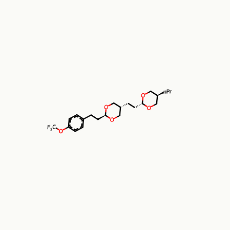 CCC[C@H]1CO[C@H](CC[C@H]2CO[C@H](CCc3ccc(OC(F)(F)F)cc3)OC2)OC1